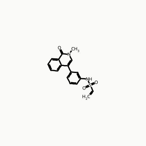 C=CS(=O)(=O)Nc1cccc(-c2cn(C)c(=O)c3ccccc23)c1